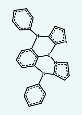 c1ccc(N2c3ccsc3B3c4c2cccc4N(c2ccccc2)c2cccn23)cc1